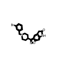 O=C1Cc2cc3c(C4CCN(Cc5cccc(Br)c5)CC4)noc3cc2N1